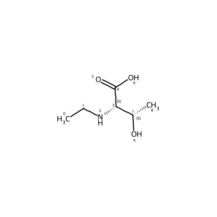 CCN[C@H](C(=O)O)[C@H](C)O